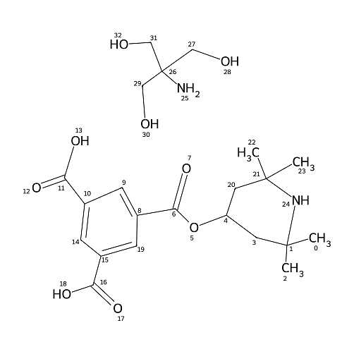 CC1(C)CC(OC(=O)c2cc(C(=O)O)cc(C(=O)O)c2)CC(C)(C)N1.NC(CO)(CO)CO